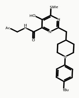 CSc1nc(CC2CCN(c3ccc(C(C)(C)C)cc3)CC2)nc(C(=O)NCC(C)=O)c1O